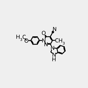 COc1ccc(-n2nc(N3CNc4ccccc43)c(C)c(C#N)c2=O)cc1